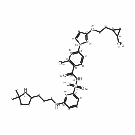 CC1(C)CCC(CCCNc2cccc(S(=O)(=O)NC(=O)c3ccc(-n4ccc(OCCC5CC5C(F)(F)F)n4)nc3Cl)n2)N1